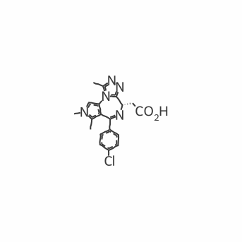 Cc1c2c(cn1C)-n1c(C)nnc1[C@H](CC(=O)O)N=C2c1ccc(Cl)cc1